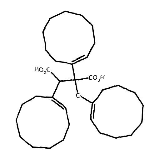 O=C(O)C(/C1=C/CCCCCCCC1)C(O/C1=C/CCCCCCCC1)(C(=O)O)/C1=C/CCCCCCCC1